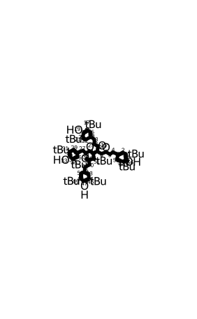 CC(C)(C)c1cc(CCC(=O)CC(C(=O)CCc2cc(C(C)(C)C)c(O)c(C(C)(C)C)c2)C(C(=O)CCc2cc(C(C)(C)C)c(O)c(C(C)(C)C)c2)C(C(=O)CCc2cc(C(C)(C)C)c(O)c(C(C)(C)C)c2)C(C)(C)C)cc(C(C)(C)C)c1O